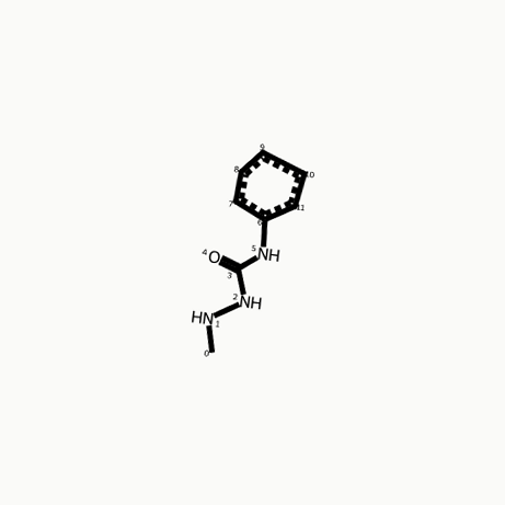 CNNC(=O)Nc1ccccc1